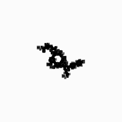 CC(NC(=O)[C@@H]1Cc2ccc(O)c(c2)-c2cc(ccc2O)[C@H](N(C)C(=O)[C@H](CCCCN)NC(=O)c2ccc(-c3ccc(Cl)cc3)cc2)C(=O)N[C@@H](C)C(=O)N1)C(=O)Cn1cc(C(N)=O)nn1